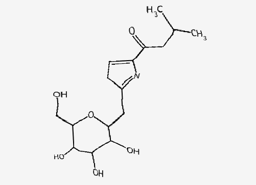 CC(C)CC(=O)C1=CCC(CC2OC(CO)C(O)C(O)C2O)=N1